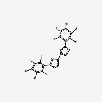 Fc1c(F)c(-c2ccc(-c3ccc(-c4c(F)c(F)c(Br)c(F)c4F)s3)s2)c(F)c(F)c1Br